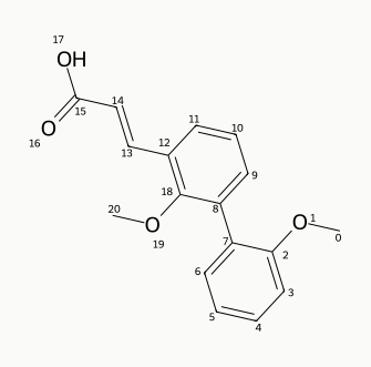 COc1ccccc1-c1cccc(/C=C/C(=O)O)c1OC